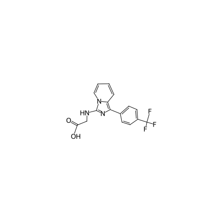 O=C(O)CNc1nc(-c2ccc(C(F)(F)F)cc2)c2ccccn12